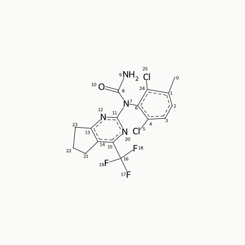 Cc1ccc(Cl)c(N(C(N)=O)c2nc3c(c(C(F)(F)F)n2)CCC3)c1Cl